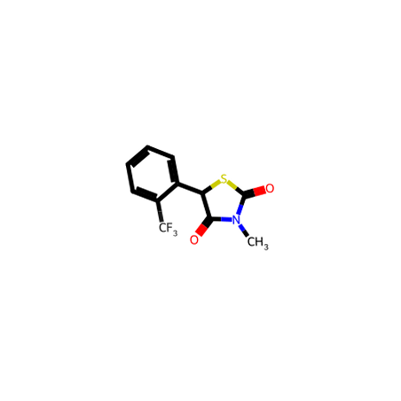 CN1C(=O)SC(c2ccccc2C(F)(F)F)C1=O